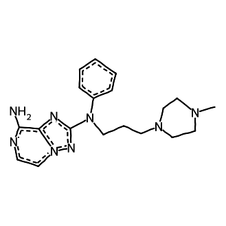 CN1CCN(CCCN(c2ccccc2)c2nc3c(N)nccn3n2)CC1